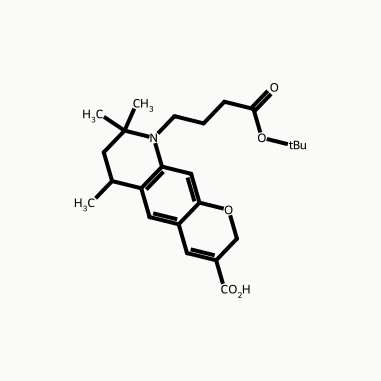 CC1CC(C)(C)N(CCCC(=O)OC(C)(C)C)c2cc3c(cc21)C=C(C(=O)O)CO3